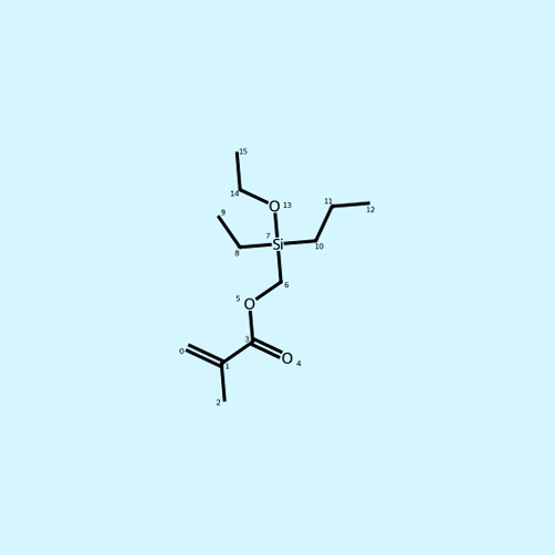 C=C(C)C(=O)OC[Si](CC)(CCC)OCC